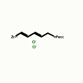 CCCCCC/C=C/C=[CH]/[Zr+2].[Cl-].[Cl-]